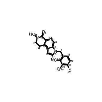 N#Cc1c(Cn2ccc3c4c(ncc32)C(=O)N(O)CC4)ccc(F)c1Cl